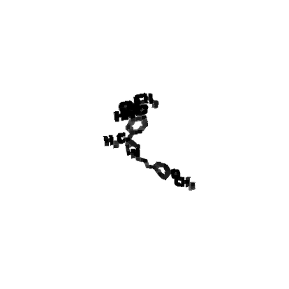 COc1ccc(CCCN2CC3C(C2)C3(C)c2cccc(NS(C)(=O)=O)c2)cc1